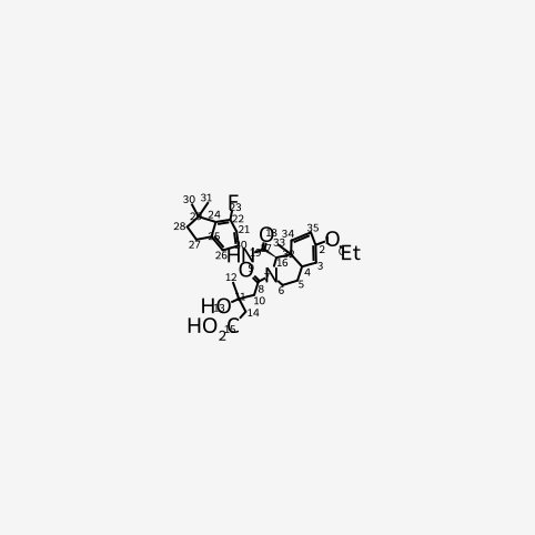 CCOC1=CC2CCN(C(=O)CC(C)(O)CC(=O)O)[C@@H](C(=O)Nc3cc(F)c4c(c3)CCC4(C)C)C2(C)C=C1